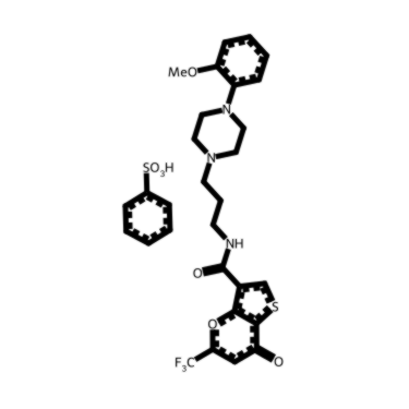 COc1ccccc1N1CCN(CCCNC(=O)c2csc3c(=O)cc(C(F)(F)F)oc23)CC1.O=S(=O)(O)c1ccccc1